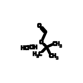 CC(C)(C)OC=O.Cl.Cl